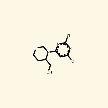 OCC1CCOCN1c1cc(Cl)nc(Cl)n1